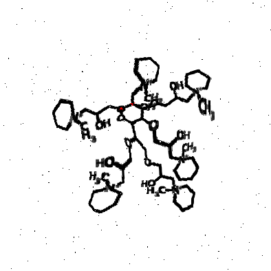 C[N+]1(CC(O)COCC(OCC(O)C[N+]2(C)CCCCC2)C(OCC(O)C[N+]2(C)CCCCC2)C(OCC(O)C[N+]2(C)CCCCC2)C(COCC(O)C[N+]2(C)CCCCC2)OCC(O)C[N+]2(C)CCCCC2)CCCCC1